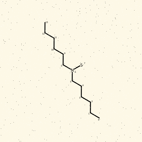 CCCCCCN([S])CCCCCC